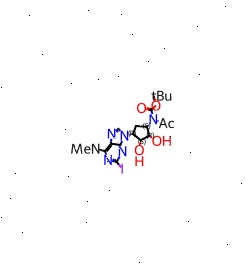 CNc1nc(I)nc2c1ncn2[C@@H]1C[C@H](N(C(C)=O)C(=O)OC(C)(C)C)[C@@H](O)[C@H]1O